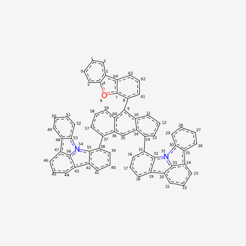 c1ccc2c(c1)oc1c(-c3c4cccc(-c5cccc6c7cccc8c9ccccc9n(c56)c87)c4cc4c(-c5cccc6c7cccc8c9ccccc9n(c56)c87)cccc34)cccc12